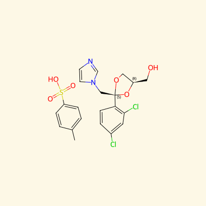 Cc1ccc(S(=O)(=O)O)cc1.OC[C@@H]1CO[C@@](Cn2ccnc2)(c2ccc(Cl)cc2Cl)O1